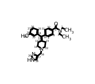 CCN(CC)C(=O)c1ccc(C(=C2CCN(Cc3c[nH]cn3)CC2)c2cccc(O)c2)cc1